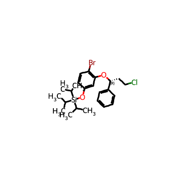 CC(C)[Si](Oc1ccc(Br)c(O[C@H](CCCl)c2ccccc2)c1)(C(C)C)C(C)C